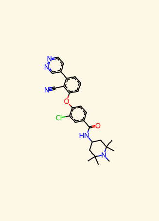 CN1C(C)(C)CC(NC(=O)c2ccc(Oc3cccc(-c4ccnnc4)c3C#N)c(Cl)c2)CC1(C)C